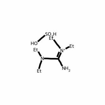 CCN(CC)C(N)=[N+](CC)CC.O=S(=O)(O)O